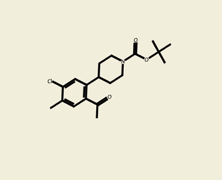 CC(=O)c1cc(C)c(Cl)cc1C1CCN(C(=O)OC(C)(C)C)CC1